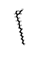 [CH2]CCCCCCCCCCCCCC[CH]C(CC)CCC